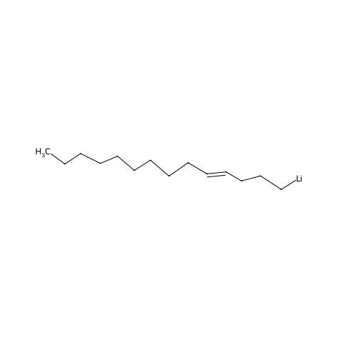 [Li][CH2]CCC=CCCCCCCCCC